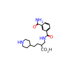 NC(=O)c1cccc(C(=O)NCC(CCC2CCNCC2)C(=O)O)c1